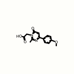 COc1ccc(-c2cc(=O)n(CC(=O)O)c(C)n2)cc1